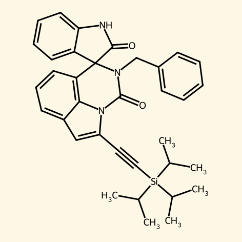 CC(C)[Si](C#Cc1cc2cccc3c2n1C(=O)N(Cc1ccccc1)C31C(=O)Nc2ccccc21)(C(C)C)C(C)C